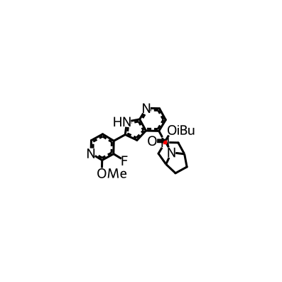 COc1nccc(-c2cc3c(N4CC5CCC(C4)N5C(=O)OCC(C)C)ccnc3[nH]2)c1F